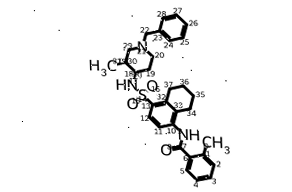 Cc1ccccc1C(=O)Nc1ccc(S(=O)(=O)N[C@@H]2CCN(Cc3ccccc3)C[C@@H]2C)c2c1CCCC2